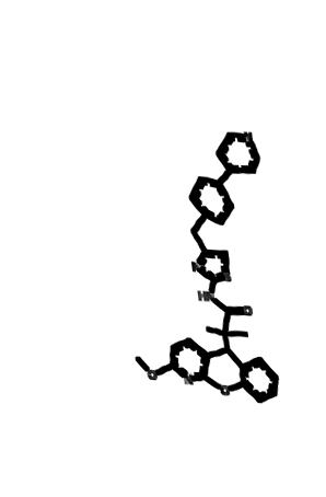 COc1ccc2c(n1)Oc1ccccc1C2C(C)(C)C(=O)Nc1nc(Cc2ccc(-c3ccncc3)cc2)cs1